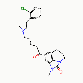 CN(CCCCC(=O)c1cc2c3c(c1)n(C)c(=O)n3CCC2)CCc1ccccc1Cl